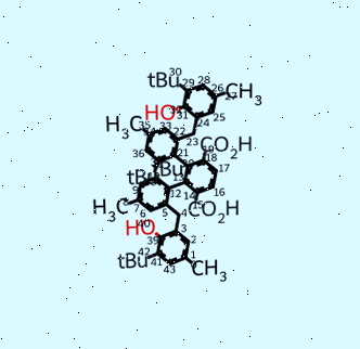 Cc1cc(Cc2cc(C)cc(C(C)(C)C)c2-c2c(C(=O)O)ccc(C(=O)O)c2-c2c(Cc3cc(C)cc(C(C)(C)C)c3O)cc(C)cc2C(C)(C)C)c(O)c(C(C)(C)C)c1